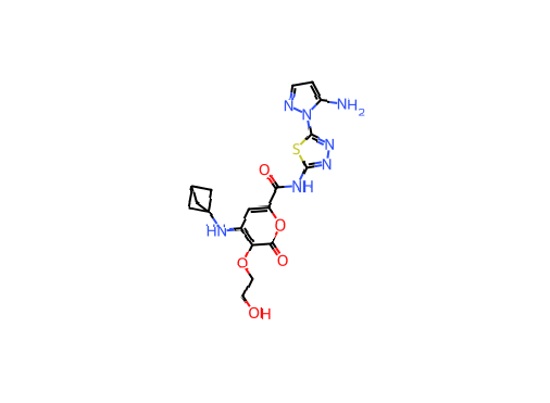 Nc1ccnn1-c1nnc(NC(=O)c2cc(NC34CC(C3)C4)c(OCCO)c(=O)o2)s1